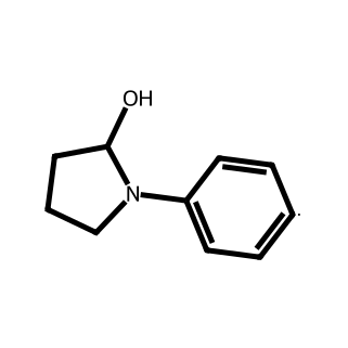 OC1CCCN1c1cc[c]cc1